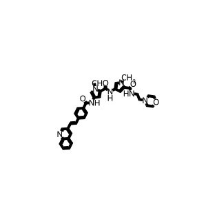 Cn1cc(NC(=O)c2cc(NC(=O)c3ccc(C=Cc4cnc5ccccc5c4)cc3)cn2C)cc1C(=O)NCCN1CCOCC1